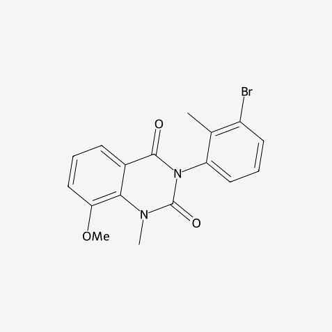 COc1cccc2c(=O)n(-c3cccc(Br)c3C)c(=O)n(C)c12